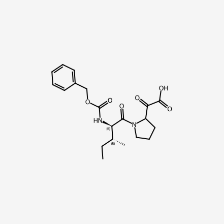 CC[C@@H](C)[C@@H](NC(=O)OCc1ccccc1)C(=O)N1CCCC1C(=O)C(=O)O